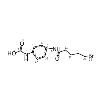 O=C(O)Nc1ccc(NC(=O)CCCCBr)cc1